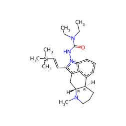 CCN(CC)C(=O)Nn1c(C=C[Si](C)(C)C)c2c3c(cccc31)[C@H]1CCCN(C)[C@@H]1C2